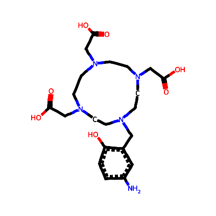 Nc1ccc(O)c(CN2CCN(CC(=O)O)CCN(CC(=O)O)CCN(CC(=O)O)CC2)c1